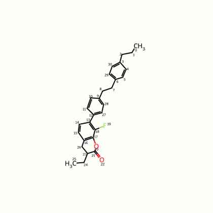 CCCc1ccc(CCc2ccc(-c3ccc4c(c3F)OC(=O)C(CC)C4)cc2)cc1